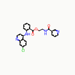 O=C(NCCOC(=O)c1ccccc1Nc1ccnc2cc(Cl)ccc12)c1cccnc1